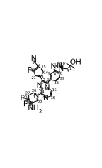 CC(C)(O)Cn1nnc2cc(-c3c(-c4ccc(C#N)c(F)c4)nc4c(N5CCC(F)(F)[C@@H](N)C5)nccn34)ccc21